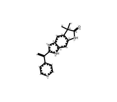 C=C(c1ccncc1)c1nc2cc3c(cc2[nH]1)NC(=O)C3(C)C